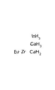 [CaH2].[Eu].[GaH3].[InH3].[Zr]